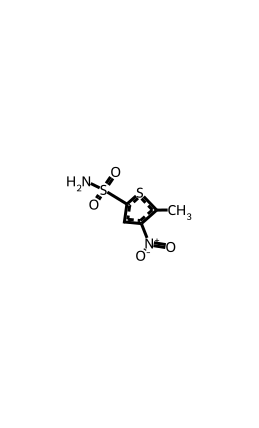 Cc1sc(S(N)(=O)=O)cc1[N+](=O)[O-]